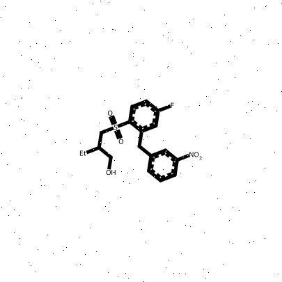 CCC(CO)CS(=O)(=O)c1ccc(F)cc1Cc1cccc([N+](=O)[O-])c1